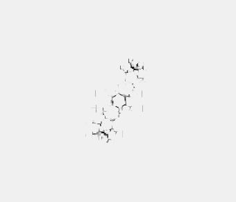 Cc1c(C)c(CC2C(Cl)C3(Cl)C(Cl)=C(Cl)C2(Cl)C3(Cl)Cl)c(C)c(C)c1CC1C(Cl)C2(Cl)C(Cl)=C(Cl)C1(Cl)C2(Cl)Cl